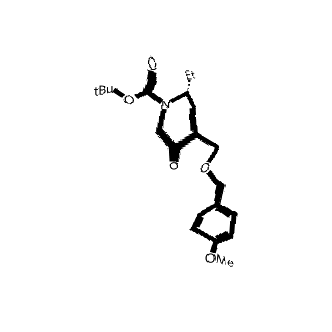 CC[C@@H]1C=C(COCc2ccc(OC)cc2)C(=O)CN1C(=O)OC(C)(C)C